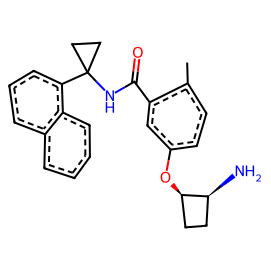 Cc1ccc(O[C@@H]2CC[C@@H]2N)cc1C(=O)NC1(c2cccc3ccccc23)CC1